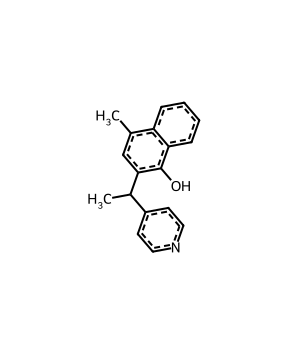 Cc1cc(C(C)c2ccncc2)c(O)c2ccccc12